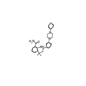 CC1(C)CC(c2cccc(N3CCN(c4ccccc4)CC3)c2)Nc2c(C(N)=O)cccc21